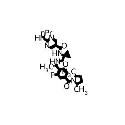 CCCNc1ncc(C(=O)NC2(C(=O)N[C@H](C)c3ccc(C(=O)N4[C@H](C)CC[C@@H]4C)cc3F)CC2)cn1